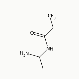 CC(N)NC(=O)CC(F)(F)F